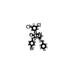 C[C@@]1(Cc2ccc(Br)cc2)C(=O)N(c2cc(Cl)cc(Cl)c2)c2ncc(SCc3ccccc3)n21